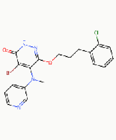 CN(c1cccnc1)c1c(OCCCc2ccccc2Cl)n[nH]c(=O)c1Br